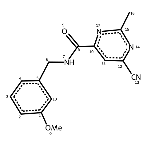 COc1cccc(CNC(=O)c2cc(C#N)nc(C)n2)c1